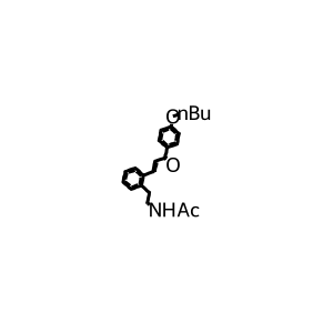 CCCCOc1ccc(C(=O)C=Cc2ccccc2CCNC(C)=O)cc1